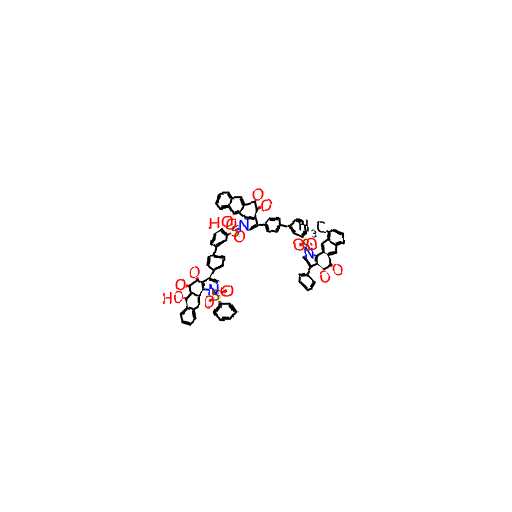 Cc1cccc2cc3c(cc12)-c1c(c(-c2ccccc2)cn1S(=O)(=O)c1cccc(-c2ccc(-c4cn(S(=O)(=O)c5cccc(-c6ccc(-c7cn(S(=O)(=O)c8ccccc8)c8c7C(=O)C(=O)c7c-8cc8ccccc8c7O)cc6)c5)c5c4C(=O)C(=O)c4cc6ccccc6c(O)c4-5)cc2)c1)C(=O)C3=O